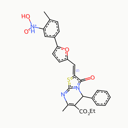 CCOC(=O)C1=C(C)N=c2s/c(=C\c3ccc(-c4ccc(C)c([NH+]([O-])O)c4)o3)c(=O)n2C1c1ccccc1